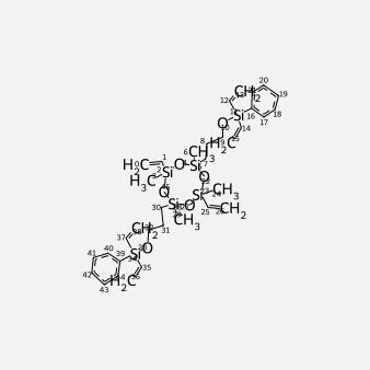 C=C[Si]1(C)O[Si](C)(CCCO[Si](C=C)(C=C)c2ccccc2)O[Si](C)(C=C)O[Si](C)(CCCO[Si](C=C)(C=C)c2ccccc2)O1